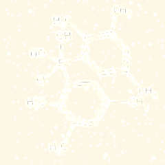 Cc1cc(C)c(C)c(P(O)(O)(Cl)c2cc(C)cc(C)c2C)c1